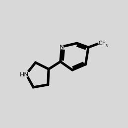 FC(F)(F)c1ccc(C2CCNC2)nc1